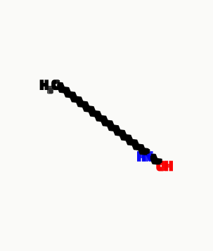 CCCCCCCCCCCCCCCCCCCCCCCCCCCCC=CNCCCO